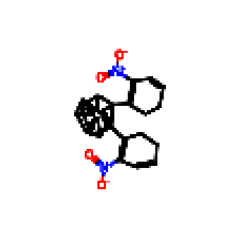 O=[N+]([O-])C1=C([C]23[CH]4[CH]5[CH]6[C]2(C2=C([N+](=O)[O-])C=CCC2)[Co]54632789[CH]3[CH]2[CH]7[CH]8[CH]39)CCC=C1